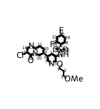 COCCCOc1ncc(-c2ccc3ncc(Cl)c(=O)n3c2)cc1NS(=O)(=O)c1ccc(F)cc1F